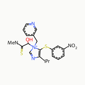 CNC(=S)C(O)[N+]1(Cc2cccnc2)C=NC(C(C)C)=C1Sc1cccc([N+](=O)[O-])c1